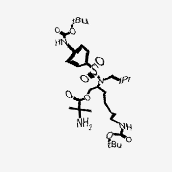 CC(C)CN(C(CCCCNC(=O)OC(C)(C)C)COC(=O)C(C)(C)N)S(=O)(=O)c1ccc(NC(=O)OC(C)(C)C)cc1